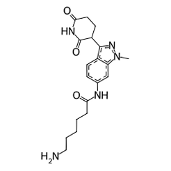 Cn1nc(C2CCC(=O)NC2=O)c2ccc(NC(=O)CCCCCN)cc21